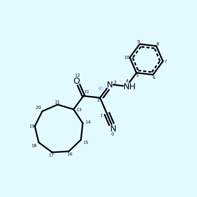 N#C/C(=N\Nc1ccccc1)C(=O)C1CCCCCCCC1